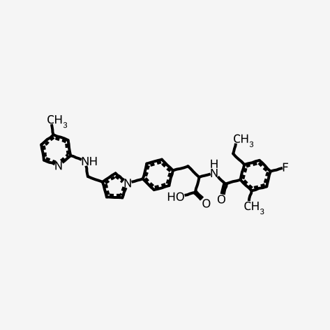 CCc1cc(F)cc(C)c1C(=O)NC(Cc1ccc(-n2ccc(CNc3cc(C)ccn3)c2)cc1)C(=O)O